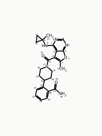 Cc1oc2ncnc(NC3(C)CC3)c2c1C(=O)N1CCC(c2ccccc2C(N)=O)CC1